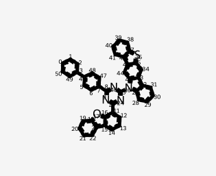 c1ccc(-c2ccc(-c3nc(-c4cccc5c4oc4ccccc45)nc(-n4c5ccccc5c5cc6sc7ccccc7c6cc54)n3)cc2)cc1